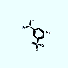 CC(C)P(c1cccc(S(=O)(=O)[O-])c1)C(C)C.[Na+]